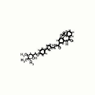 CC(C)N(C)CC(O)COc1ccc(-c2ncc(CNC(=O)c3ccc4c(c3)NC(=O)c3ccccc3S4(=O)=O)s2)cc1